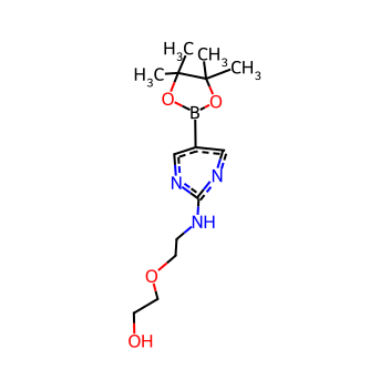 CC1(C)OB(c2cnc(NCCOCCO)nc2)OC1(C)C